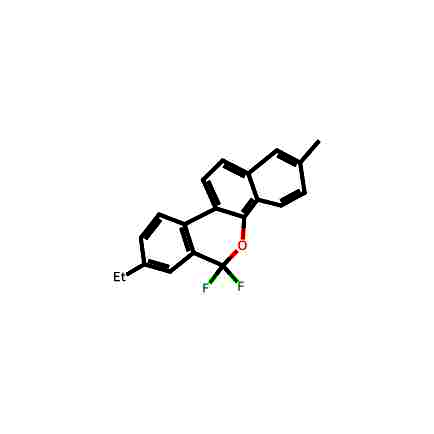 CCc1ccc2c(c1)C(F)(F)Oc1c-2ccc2cc(C)ccc12